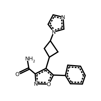 NC(=O)c1noc(-c2ccccc2)c1C1CC(n2ccnc2)C1